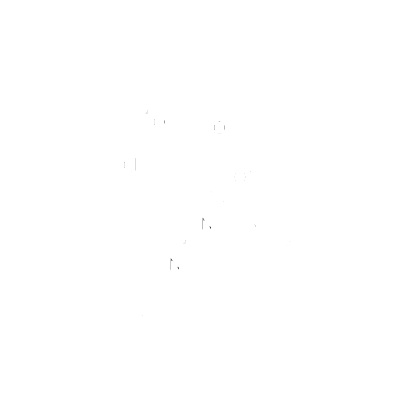 CCOC(=O)c1c(Cl)c2ccc(C)nc2n(-c2ccccc2)c1=O